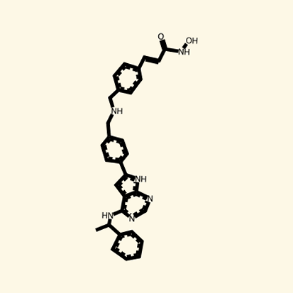 CC(Nc1ncnc2[nH]c(-c3ccc(CNCc4ccc(C=CC(=O)NO)cc4)cc3)cc12)c1ccccc1